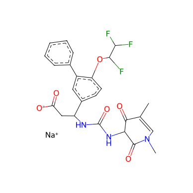 CC1=CN(C)C(=O)C(NC(=O)NC(CC(=O)[O-])c2ccc(OC(F)C(F)F)c(-c3ccccc3)c2)C1=O.[Na+]